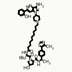 Cc1ncsc1-c1ccc([C@H](C)NC(=O)[C@@H]2C[C@@H](O)CN2C(=O)[C@@H](NC(=O)CCCCCCCCCCN2CCC(n3nc(N)c4nnc(-c5ccccc5O)cc43)CC2)C(C)(C)C)cc1